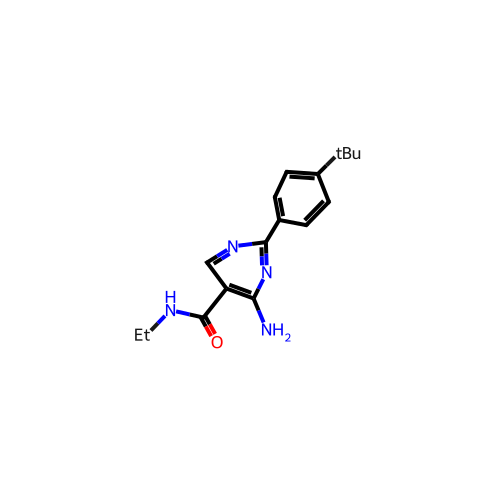 CCNC(=O)c1cnc(-c2ccc(C(C)(C)C)cc2)nc1N